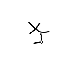 COB(C)C(C)(C)C